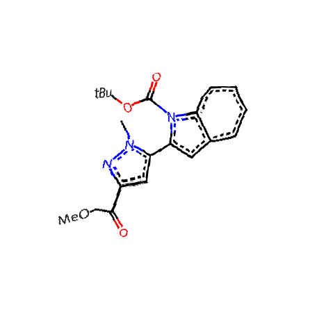 COC(=O)c1cc(-c2cc3ccccc3n2C(=O)OC(C)(C)C)n(C)n1